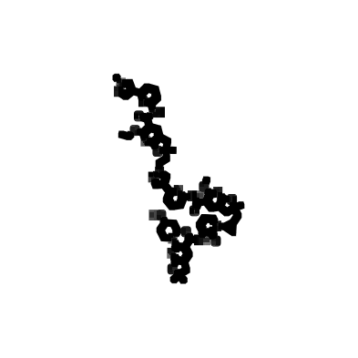 CCOc1nc2c(cc1C(=O)Nc1cccc(-c3cnn(C)c3)n1)CC(C)(CCn1cc(-c3cccc(NC(=O)c4cc5c(nc4OC)OC(C)(CC4CC4n4cccc(NC(=O)c6cc7c(nc6N6CCC(O)CC6)OC(C)(C)C7)c4=O)C5)n3)cn1)O2